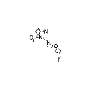 CC(=O)c1cn(CCCN2CCCC(Oc3ccc(CI)cc3)C2)c2c(C#N)cccc12